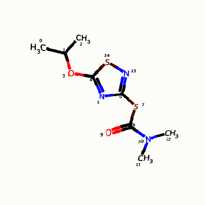 CC(C)Oc1nc(SC(=O)N(C)C)ns1